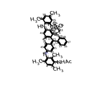 CC(=O)Nc1c(C)cc(C)c(/N=c2\ccc3c(-c4ccccc4[S+]([O-])CS(=O)(=O)C(F)(F)F)c4ccc(Nc5c(C)cc(C)cc5C)cc4sc-3c2)c1C